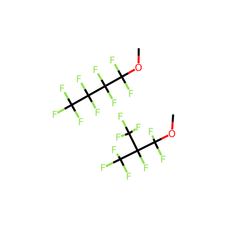 COC(F)(F)C(F)(C(F)(F)F)C(F)(F)F.COC(F)(F)C(F)(F)C(F)(F)C(F)(F)F